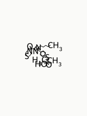 CCCCCn1cc(C(=O)N2CCSCC2)nc1-c1ccc(SC(C)(C)C(=O)O)cc1